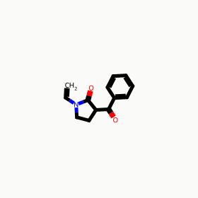 C=CN1CCC(C(=O)c2ccccc2)C1=O